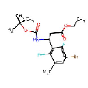 CCOC(=O)C[C@H](NC(=O)OC(C)(C)C)c1c(F)c(C)cc(Br)c1F